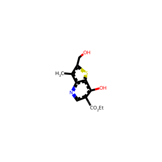 CCOC(=O)c1cnc2c(C)c(CO)sc2c1O